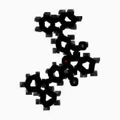 O=C1c2ccc(-n3c4ccccc4c4ccccc43)cc2C(=O)N1c1ccccc1N1C(=O)c2ccc(-n3c4ccccc4c4ccccc43)cc2C1=O